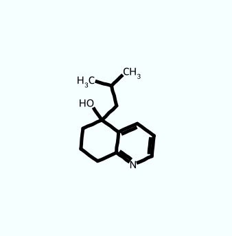 CC(C)CC1(O)CCCc2ncccc21